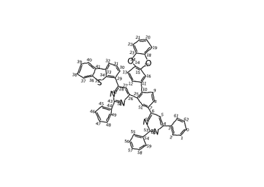 c1ccc(-c2cc(-c3ccc(-c4ccc5c(c4)Oc4ccccc4O5)c(-c4cc(-c5cccc6c5sc5ccccc56)nc(-c5ccccc5)n4)c3)nc(-c3ccccc3)n2)cc1